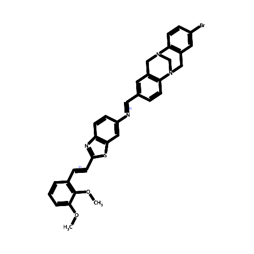 COc1cccc(/C=C/c2nc3ccc(/N=C/c4ccc5c(c4)CN4CN5Cc5cc(Br)ccc54)cc3s2)c1OC